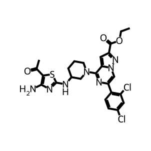 CCOC(=O)c1cc2c(N3CCCC(Nc4nc(N)c(C(C)=O)s4)C3)nc(-c3ccc(Cl)cc3Cl)cn2n1